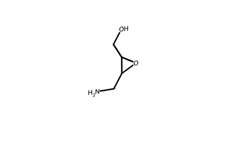 N[CH]C1OC1CO